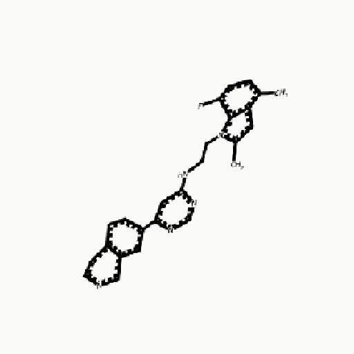 Cc1ccc(F)c2c1cc(C)n2CCNc1cc(-c2ccc3ccncc3c2)ncn1